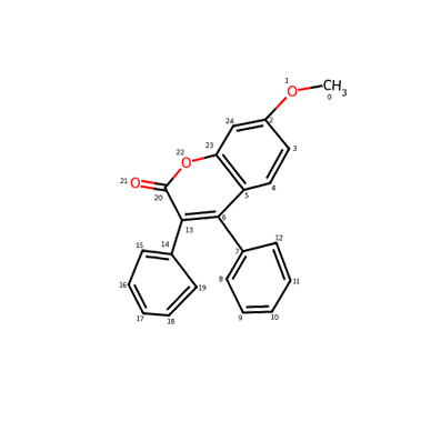 COc1ccc2c(-c3ccccc3)c(-c3ccccc3)c(=O)oc2c1